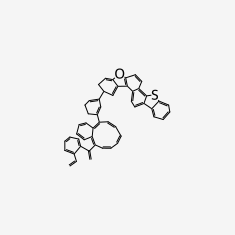 C=Cc1ccccc1C(=C)c1ccccccc(C2=CC(C3C=c4c(oc5ccc6c(ccc7c8ccccc8sc76)c45)=CC3)=CCC2)c2ccccc12